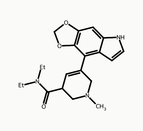 CCN(CC)C(=O)C1C=C(c2c3c(cc4[nH]ccc24)OCO3)CN(C)C1